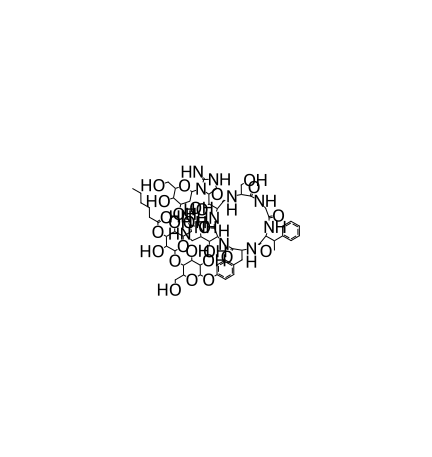 CCCCCC(=O)OC1C(O)C(CO)OC(OC2C(CO)OC(Oc3ccc(CC4NC(=O)C(C(C)c5ccccc5)NC(=O)CNC(=O)C(CO)NC(=O)C(C(O)C5CNC(=N)N5C5OC(CO)C(O)C(O)C5O)NC(=O)C(C(O)C5CNC(=N)N5)NC4=O)cc3)C(O)C2O)C1O